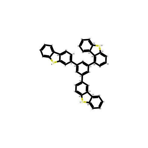 c1ccc2c(c1)sc1cc(-c3cc(-c4ccc5sc6ccccc6c5c4)cc(-c4cccc5sc6ccccc6c45)c3)ccc12